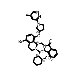 Cc1cnnc(N2CC[C@H](Oc3ccc(Br)c4c3[C@@H](CN3Cc5ccccc5C3=O)N(C(=O)[C@@H]3CCCC[C@@H]3C(=O)O)CC4)C2)c1